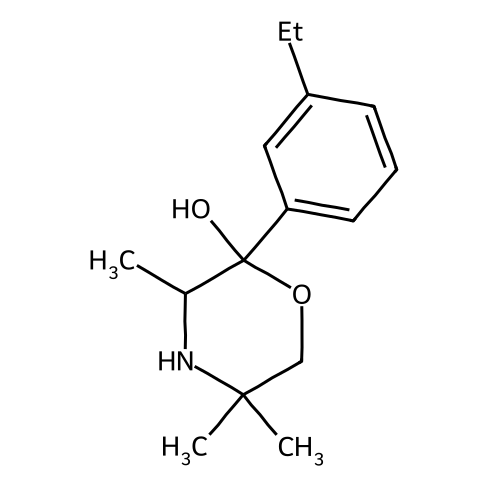 CCc1cccc(C2(O)OCC(C)(C)NC2C)c1